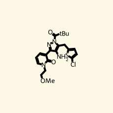 COCCn1cccc(-c2nn(C(=O)C(C)(C)C)c(Cc3ccc(Cl)s3)c2N)c1=O